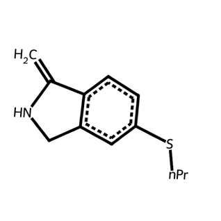 C=C1NCc2cc(SCCC)ccc21